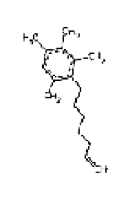 [CH]=CCCCCCc1c(C)cc(C)c(C)c1C